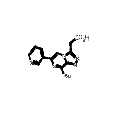 CCC(C)c1nc(-c2cccnc2)cn2c(CC(=O)O)nnc12